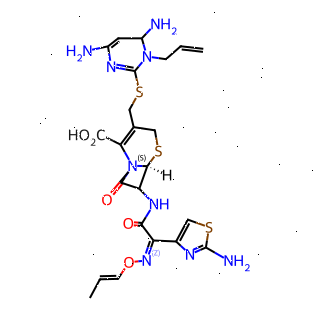 C=CCN1C(SCC2=C(C(=O)O)N3C(=O)C(NC(=O)/C(=N\OC=CC)c4csc(N)n4)[C@@H]3SC2)=NC(N)=CC1N